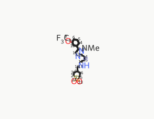 CNn1c(-c2cccc(OC(F)(F)F)c2)cnc1/C=C\CNCC1CCS(=O)(=O)CC1